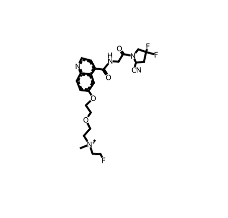 C[N+](C)(CCF)CCOCCOc1ccc2nccc(C(=O)NCC(=O)N3CC(F)(F)CC3C#N)c2c1